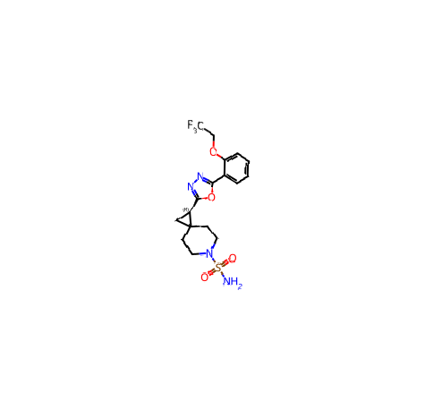 NS(=O)(=O)N1CCC2(CC1)C[C@H]2c1nnc(-c2ccccc2OCC(F)(F)F)o1